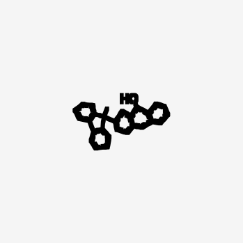 CC1(c2ccc3cc4ccccc4c(O)c3c2)c2ccccc2-c2ccccc21